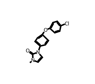 Cn1ccn(-c2ccc(Oc3ccc(Cl)cc3)cc2)c1=O